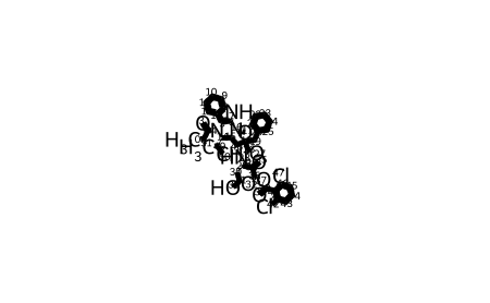 CCC(=O)N(c1c[nH]c2ccccc12)[C@H](C1=NOC(Cc2ccccc2)(C(=O)N[C@@H](CC(=O)O)C(=O)COC(=O)c2c(Cl)cccc2Cl)C1)C(C)C